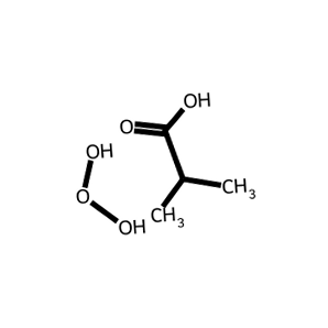 CC(C)C(=O)O.OOO